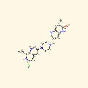 CCc1cc2ncc(CN3CCN(c4cnc5c(NC)nc(Cl)cc5c4)CC3)cc2[nH]c1=O